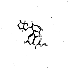 CN(C(=O)OC(C)(C)C)c1cc(F)cc2c1[nH]c1ncc(Br)c(N3C[C@@H]4CCN(C)[C@@H]4C3)c12